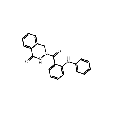 O=C1NN(C(=O)c2ccccc2Nc2ccccc2)Cc2ccccc21